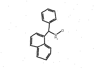 Cl[SiH2]C(c1ccccc1)c1cccc2ccccc12